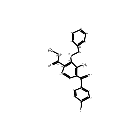 Cc1c(C(=O)c2ccc(F)cc2)cnc(C(=O)NO)c1OCc1ccccc1